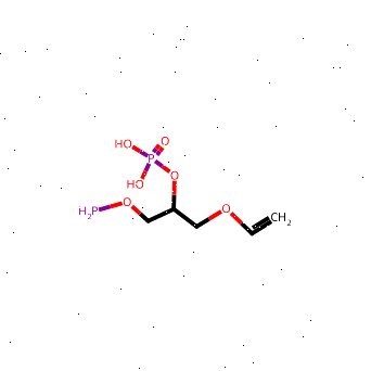 C=COCC(COP)OP(=O)(O)O